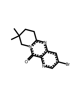 CC1(C)CCc2nc3cc(Br)cnc3c(=O)n2C1